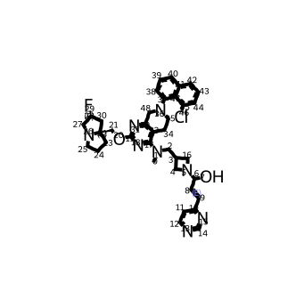 CN(CC1CN(C(O)/C=C/c2ccncn2)C1)c1nc(OC[C@@]23CCCN2C[C@H](F)C3)nc2c1CCN(c1cccc3cccc(Cl)c13)C2